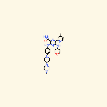 Cc1ccnc(-c2nc(C(N)=O)c(Nc3ccc(N4CCC(N5CCN(C)CC5)CC4)cc3)nc2NC2CCOCC2)c1